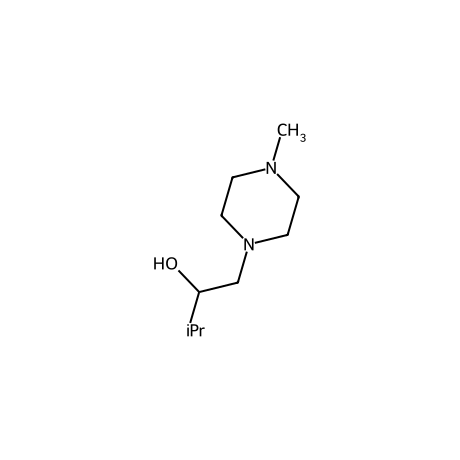 CC(C)C(O)CN1CCN(C)CC1